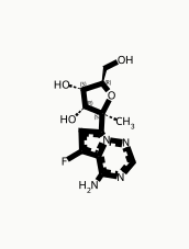 C[C@@]1(c2cc(F)c3c(N)ncnn23)O[C@H](CO)[C@@H](O)[C@H]1O